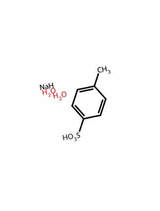 Cc1ccc(S(=O)(=O)O)cc1.O.O.[NaH]